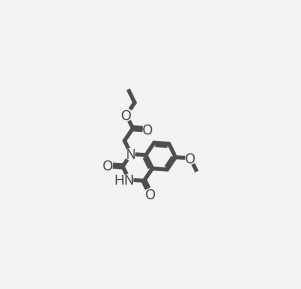 CCOC(=O)Cn1c(=O)[nH]c(=O)c2cc(OC)ccc21